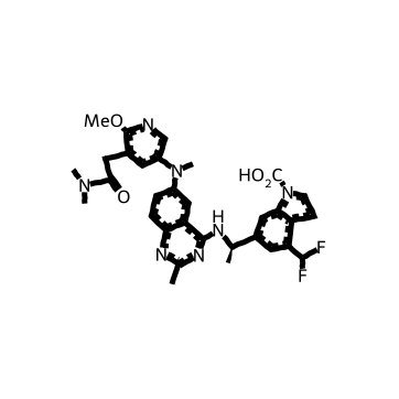 COc1ncc(N(C)c2ccc3nc(C)nc(N[C@H](C)c4cc(C(F)F)c5ccn(C(=O)O)c5c4)c3c2)cc1CC(=O)N(C)C